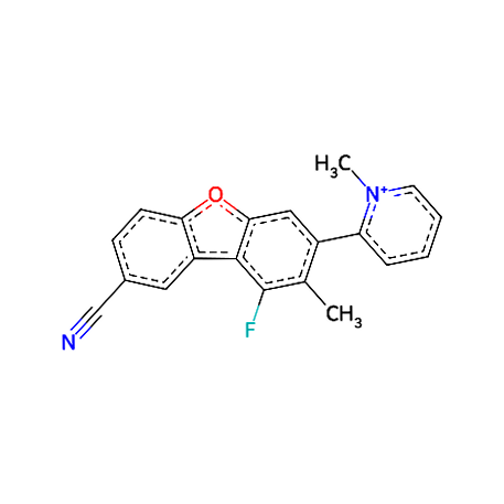 Cc1c(-c2cccc[n+]2C)cc2oc3ccc(C#N)cc3c2c1F